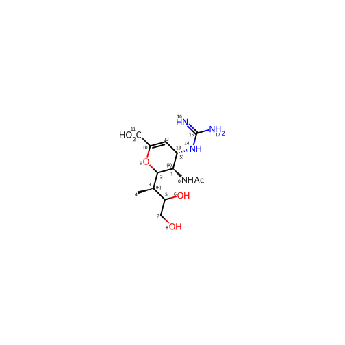 CC(=O)N[C@H]1C([C@H](C)C(O)CO)OC(C(=O)O)=C[C@@H]1NC(=N)N